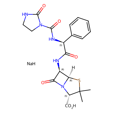 CC1(C)S[C@@H]2[C@H](NC(=O)[C@@H](NC(=O)N3CCNC3=O)c3ccccc3)C(=O)N2[C@H]1C(=O)O.[NaH]